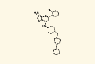 Bc1cnn2c(NC3CCN(Cc4ccc(-c5ccccc5)cc4)CC3)cc(-c3ccccc3Cl)nc12